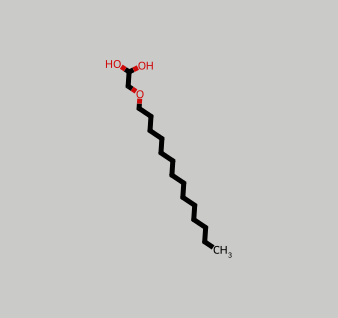 CCCCCCCCCCCCCCOCC(O)O